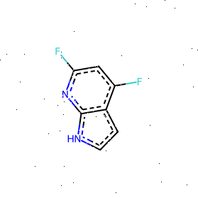 Fc1cc(F)c2cc[nH]c2n1